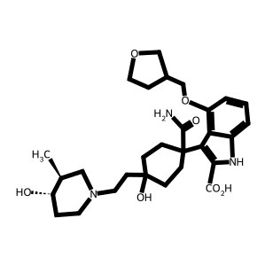 C[C@H]1CN(CCC2(O)CCC(C(N)=O)(c3c(C(=O)O)[nH]c4cccc(OCC5CCOC5)c34)CC2)CC[C@@H]1O